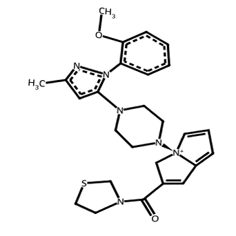 COc1ccccc1-n1nc(C)cc1N1CCN([N@@+]23C=CC=C2C=C(C(=O)N2CCSC2)C3)CC1